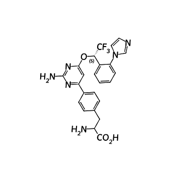 Nc1nc(O[C@@H](c2ccccc2-n2ccnc2)C(F)(F)F)cc(-c2ccc(CC(N)C(=O)O)cc2)n1